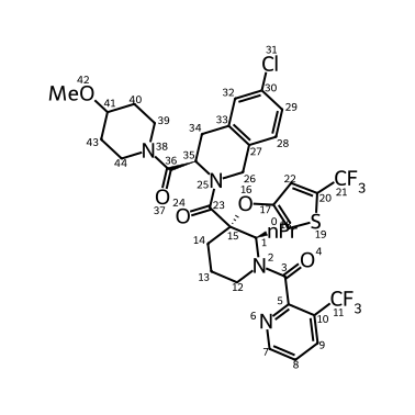 CCC[C@H]1N(C(=O)c2ncccc2C(F)(F)F)CCC[C@@]1(Oc1csc(C(F)(F)F)c1)C(=O)N1Cc2ccc(Cl)cc2C[C@@H]1C(=O)N1CCC(OC)CC1